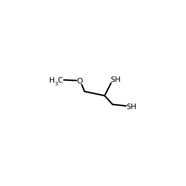 COCC(S)CS